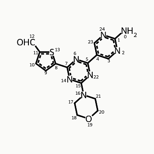 Nc1ncc(-c2nc(-c3ccc(C=O)s3)nc(N3CCOCC3)n2)cn1